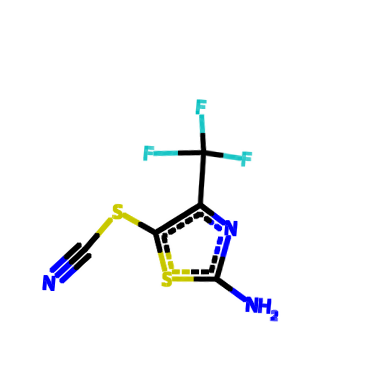 N#CSc1sc(N)nc1C(F)(F)F